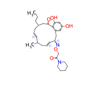 CCCC1C/C=C/C(C)C/C=C/C(=N\OCC(=O)N2CCCCC2)Cc2cc(O)cc(O)c2C(=O)C1